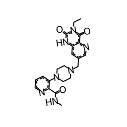 CCn1c(=O)[nH]c2cc(CN3CCN(c4cccnc4C(=O)NC)CC3)cnc2c1=O